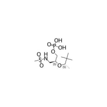 C[C@H](O[C@@H](CNS(C)(=O)=O)COP(=O)(O)O)C(C)(C)C